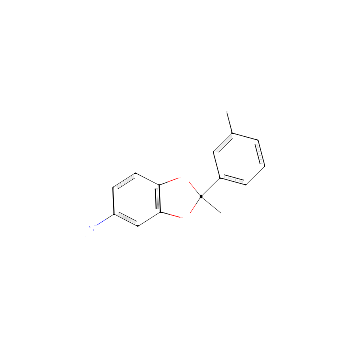 CC1(c2cccc(C(F)(F)F)c2)Oc2ccc(N)cc2O1